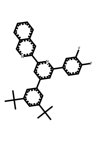 CC(C)(C)c1cc(-c2cc(-c3ccc(F)c(F)c3)nc(-c3cc4ccccc4cn3)c2)cc(C(C)(C)C)c1